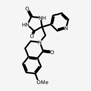 COc1ccc2c(c1)C(=O)N(CC1(c3cccnc3)NC(=O)NC1=O)CC2